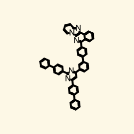 c1ccc(-c2ccc(-c3cc(-c4cccc(-c5ccc(-c6nc7c(nc8ccccn87)c7ccccc67)cc5)c4)nc(-c4ccc(-c5ccccc5)cc4)n3)cc2)cc1